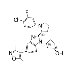 Cc1noc(C)c1-c1ccc2c(c1)nc([C@@H]1CCCN1c1ccc(Cl)c(F)c1)n2[C@@H]1CC[C@@H](O)C1